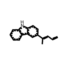 C=C/C=C(\C)c1ccc2[nH]c3ccccc3c2c1